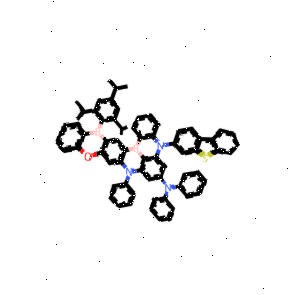 CC(C)c1cc(C(C)C)c(B2c3ccccc3Oc3cc4c(cc32)B2c3ccccc3N(c3ccc5c(c3)sc3ccccc35)c3cc(N(c5ccccc5)c5ccccc5)cc(c32)N4c2ccccc2)c(C(C)C)c1